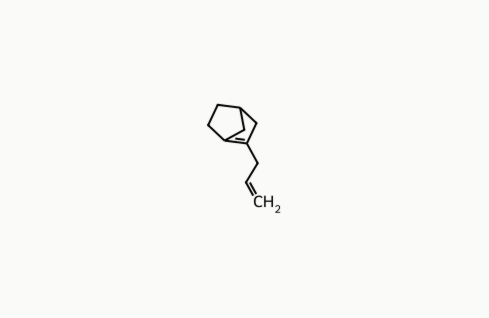 C=CCC1=C2CCC(C1)C2